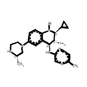 CC(=O)N1c2ccc(N3CCN[C@@H](C)C3)cc2[C@H](Nc2cnc(C)cn2)[C@@H](C)[C@@H]1C1CC1